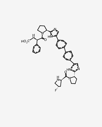 O=C(O)N[C@@H](C(=O)N1CCC[C@H]1c1ncc(-c2ccc(-c3ccc(-c4cnc([C@@H]5CCCN5C(=O)[C@H]5C[C@H](F)CN5)[nH]4)cc3)cc2)[nH]1)c1ccccc1